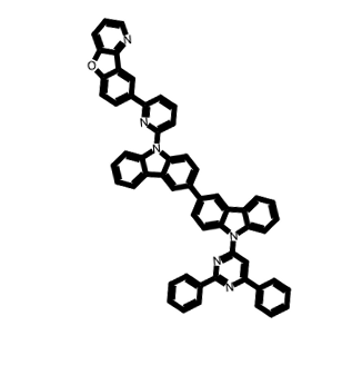 c1ccc(-c2cc(-n3c4ccccc4c4cc(-c5ccc6c(c5)c5ccccc5n6-c5cccc(-c6ccc7oc8cccnc8c7c6)n5)ccc43)nc(-c3ccccc3)n2)cc1